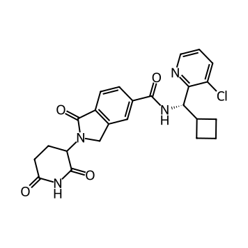 O=C1CCC(N2Cc3cc(C(=O)N[C@H](c4ncccc4Cl)C4CCC4)ccc3C2=O)C(=O)N1